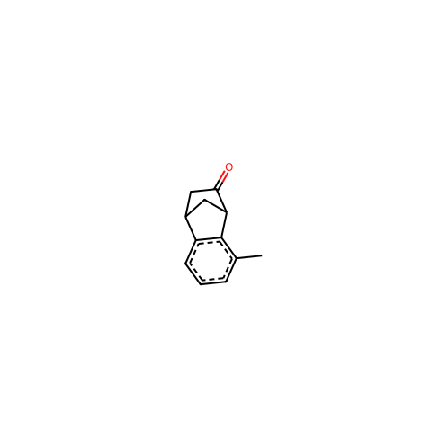 Cc1cccc2c1C1CC2CC1=O